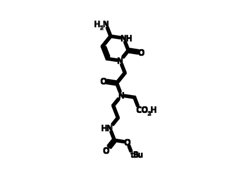 CC(C)(C)OC(=O)NCCN(CC(=O)O)C(=O)CN1C=CC(N)NC1=O